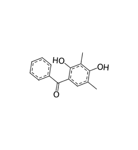 Cc1cc(C(=O)c2ccccc2)c(O)c(C)c1O